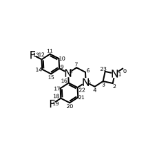 CN1CC(CN2CCN(c3ccc(F)cc3)c3cc(F)ccc32)C1